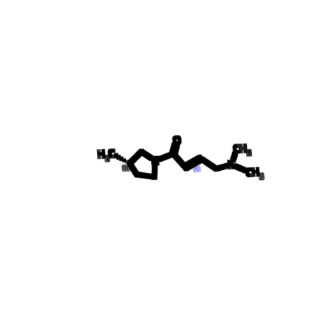 C[C@H]1CCN(C(=O)/C=C/CN(C)C)C1